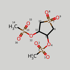 CS(=O)(=O)OC1CS(=O)(=O)CC1OS(C)(=O)=O